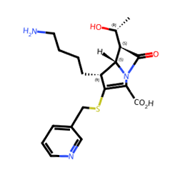 C[C@@H](O)[C@H]1C(=O)N2C(C(=O)O)=C(SCc3cccnc3)[C@H](CCCCN)[C@H]12